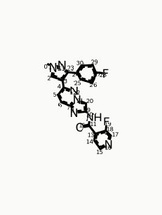 Cn1cc(-c2ccc3nc(NC(=O)c4ccncc4F)cn3n2)c(-c2ccc(F)cc2)n1